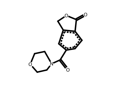 O=C1OCc2cc(C(=O)N3CCOCC3)ccc21